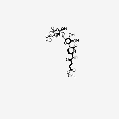 COC(=O)CCC(=O)Nc1ccn([C@@H]2O[C@H](COP(=O)(O)OP(=O)(O)OP(=O)(O)O)[C@H](O)C2O)c(=O)n1